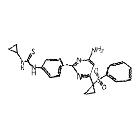 Nc1cc(C2(S(=O)(=O)c3ccccc3)CC2)nc(-c2ccc(NC(=S)NC3CC3)cc2)n1